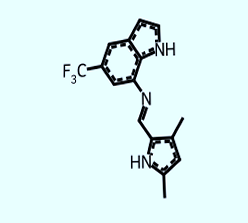 Cc1cc(C)c(C=Nc2cc(C(F)(F)F)cc3cc[nH]c23)[nH]1